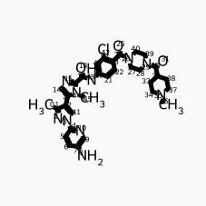 Cc1nn(-c2ccc(N)cn2)cc1-c1cnc(C(=O)Nc2ccc(C(=O)N3CCN(C(=O)C4CCN(C)CC4)CC3)c(Cl)c2)n1C